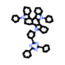 c1ccc(-c2nc(-c3ccccc3)nc(-c3cccc(-n4c5ccccc5c5c4c4ccc6c(c7ccccc7n6-c6ccccc6)c4c4c6ccccc6n(-c6ccccc6)c45)c3)n2)cc1